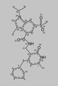 Cc1cc(Cc2ccccc2)c(CNC(=O)c2cc(S(C)(=O)=O)cc3c2c(C)cn3C(C)C)c(=O)[nH]1